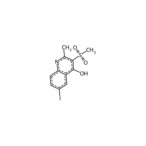 Cc1nc2ccc(I)cc2c(O)c1S(C)(=O)=O